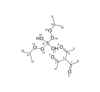 CC(=O)C(C(C)=O)C(C)=O.CC(C)O[O][Ti]([OH])([OH])[O]OC(C)C